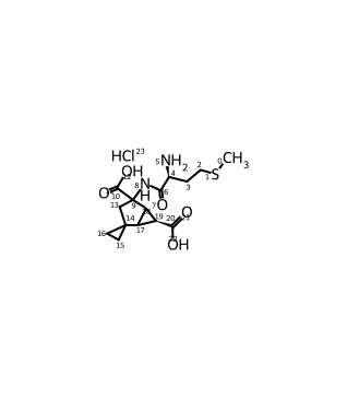 CSCC[C@H](N)C(=O)NC1(C(=O)O)CC2(CC2)C2C1[C@H]2C(=O)O.Cl